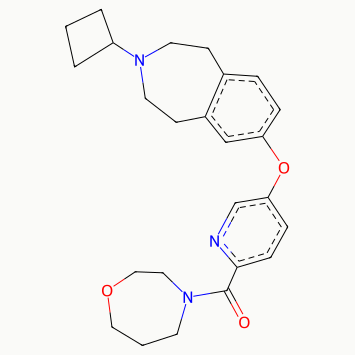 O=C(c1ccc(Oc2ccc3c(c2)CCN(C2CCC2)CC3)cn1)N1CCCOCC1